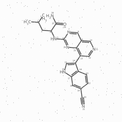 CC(C)CC(Nc1ncc2cncc(-c3c[nH]c4cc(C#N)ccc34)c2n1)C(N)=O